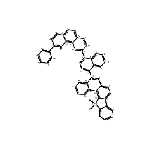 C[Si]1(C)c2ccccc2-c2ccc3cc(-c4ccc(-c5ccc6ccc7ccc(-c8ccccc8)nc7c6n5)c5ccccc45)c4ccccc4c3c21